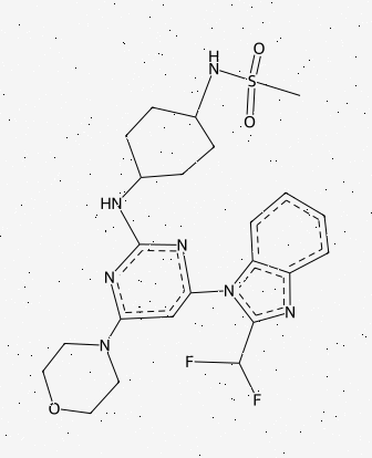 CS(=O)(=O)NC1CCC(Nc2nc(N3CCOCC3)cc(-n3c(C(F)F)nc4ccccc43)n2)CC1